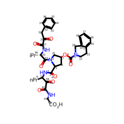 CCCC(NC(=O)C1C[C@H](OC(=O)N2CCc3ccccc3C2)CN1C(=O)[C@@H](NC(=O)C(=O)Cc1ccccc1)C(C)C)C(=O)C(=O)NCC(=O)O